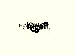 C[C@H](N)C(=O)NC1CCc2ccccc2N(CC(=O)N[C@@H](Cc2ccccc2)C(N)=O)C1=O